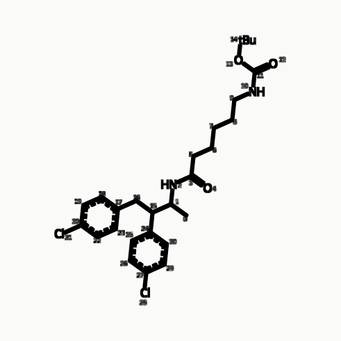 CC(NC(=O)CCCCCNC(=O)OC(C)(C)C)C(Cc1ccc(Cl)cc1)c1ccc(Cl)cc1